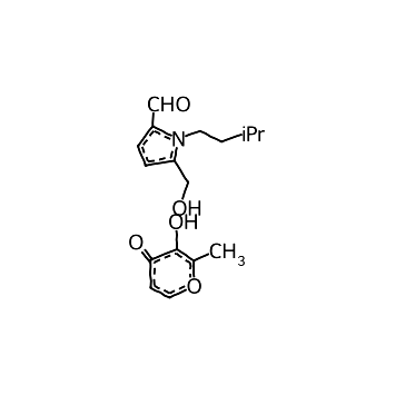 CC(C)CCn1c(C=O)ccc1CO.Cc1occc(=O)c1O